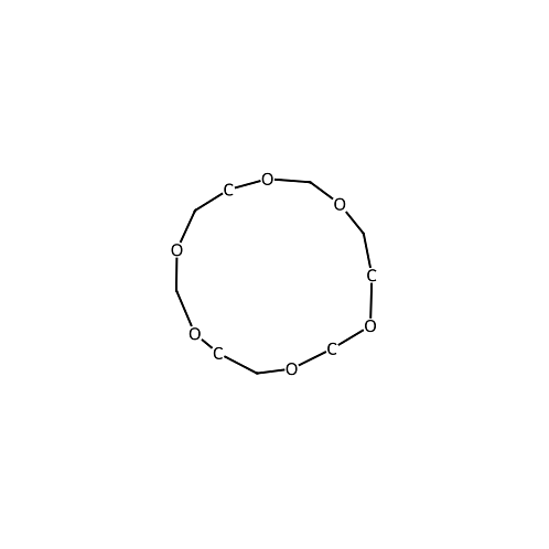 C1COCOCCOCOCCOCO1